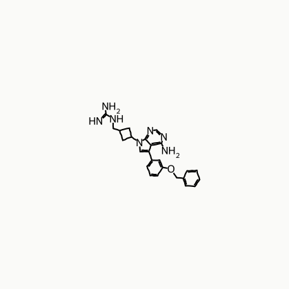 N=C(N)NCC1CC(n2cc(-c3cccc(OCc4ccccc4)c3)c3c(N)ncnc32)C1